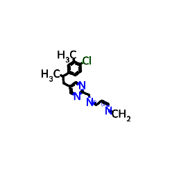 C=N/C=C\C=N/Cc1ncc(CC(C)c2ccc(Cl)c(C)c2)cn1